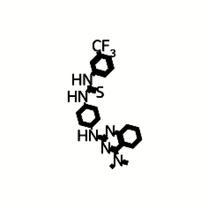 CN(C)c1nc(N[C@H]2CC[C@@H](NC(=S)Nc3cccc(C(F)(F)F)c3)CC2)nc2c1CCCC2